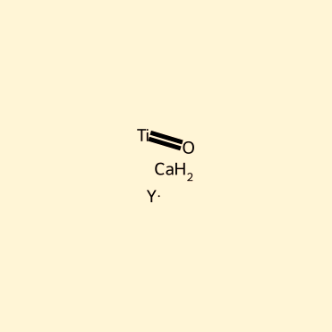 [CaH2].[O]=[Ti].[Y]